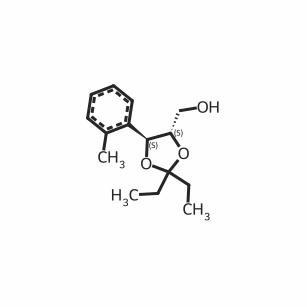 CCC1(CC)O[C@@H](CO)[C@H](c2ccccc2C)O1